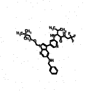 CC(C)C(Nc1cncc(-c2cn(COCC[Si](C)(C)C)c3ncc(NCc4ccccc4)cc23)c1)C(=O)NCC(F)(F)F